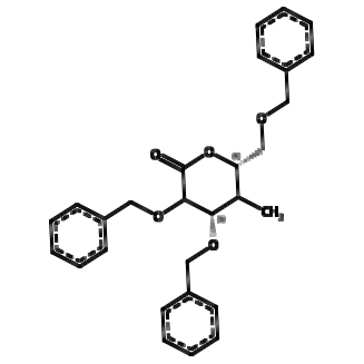 CC1[C@H](OCc2ccccc2)C(OCc2ccccc2)C(=O)O[C@@H]1COCc1ccccc1